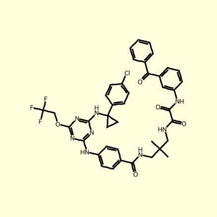 CC(C)(CNC(=O)C(=O)Nc1cccc(C(=O)c2ccccc2)c1)CNC(=O)c1ccc(Nc2nc(NC3(c4ccc(Cl)cc4)CC3)nc(OCC(F)(F)F)n2)cc1